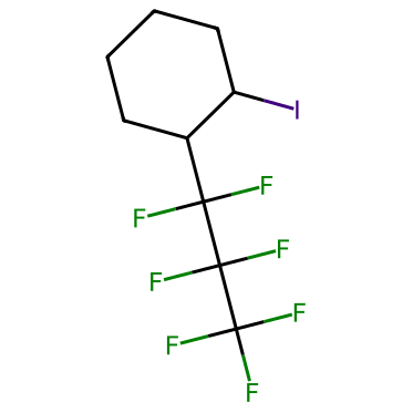 FC(F)(F)C(F)(F)C(F)(F)C1CCCCC1I